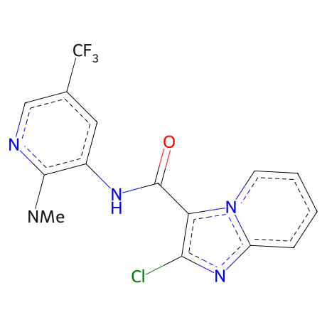 CNc1ncc(C(F)(F)F)cc1NC(=O)c1c(Cl)nc2ccccn12